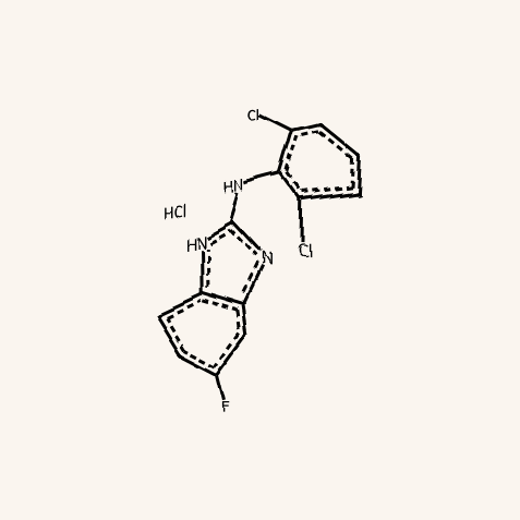 Cl.Fc1ccc2[nH]c(Nc3c(Cl)cccc3Cl)nc2c1